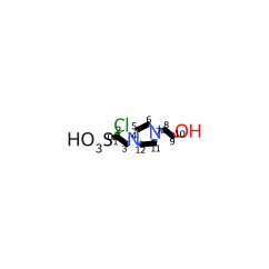 O=S(=O)(O)C(Cl)CN1CCN(CCO)CC1